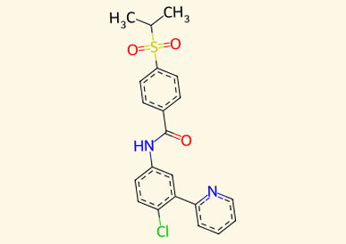 CC(C)S(=O)(=O)c1ccc(C(=O)Nc2ccc(Cl)c(-c3ccccn3)c2)cc1